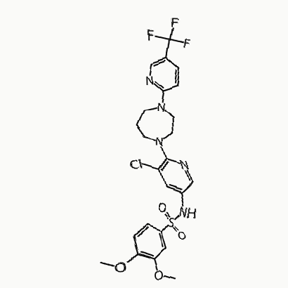 COc1ccc(S(=O)(=O)Nc2cnc(N3CCCN(c4ccc(C(F)(F)F)cn4)CC3)c(Cl)c2)cc1OC